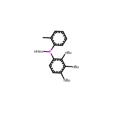 CCCCCCP(c1ccccc1C)c1ccc(CCCC)c(CCCC)c1CCCC